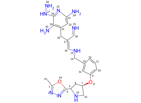 Cc1nnc(C2C[C@@H](Oc3cccc(CN/C=C(\C=N)Cc4cc(N)nc(NN)c4N)c3)CN2)o1